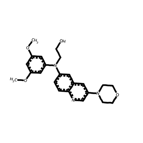 COc1cc(OC)cc(N(CCO)c2ccc3ncc(N4CCOCC4)cc3c2)c1